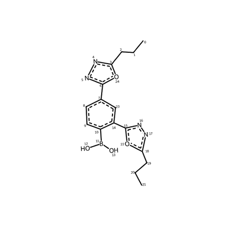 CCCc1nnc(-c2ccc(B(O)O)c(-c3nnc(CCC)o3)c2)o1